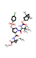 CC[C@@H]1C[C@]1(NC(=O)[C@@H]1C[C@@H](OS(=O)(=O)c2ccc(Br)cc2)CN1C(=O)[C@@H](NC(=O)O[C@@H]1C[C@@H]2C[C@@H]2C1)C(C)(C)C)C(=O)OC